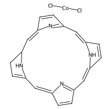 C1=CC2=NC1=CC1=CCC(C=C3C=CC(=N3)C=c3ccc([nH]3)=C2)N1.[Cl][Co][Cl]